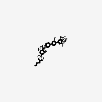 C=CCCC1COC(c2cc(F)c(C(F)(F)Oc3ccc(-c4ccc(-c5cc(F)c(S(F)(F)(F)(F)F)c(F)c5)c(F)c4)cc3)c(F)c2)OC1